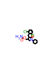 NC(=O)OCC1CN(C2CCCCC2)C(=O)C1Cc1c(Cl)cccc1Cl